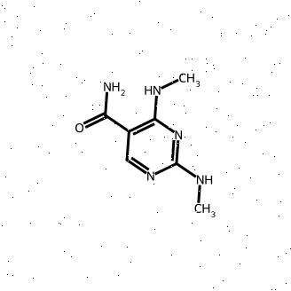 CNc1ncc(C(N)=O)c(NC)n1